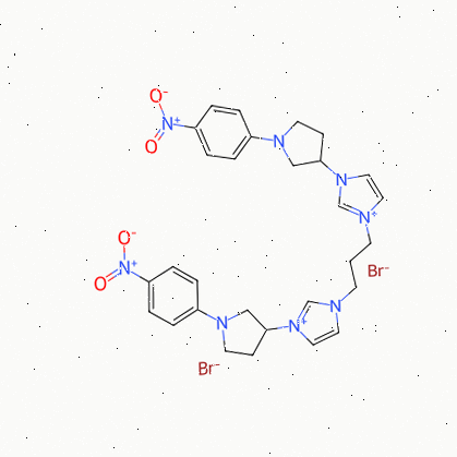 O=[N+]([O-])c1ccc(N2CCC(n3cc[n+](CCCn4cc[n+](C5CCN(c6ccc([N+](=O)[O-])cc6)C5)c4)c3)C2)cc1.[Br-].[Br-]